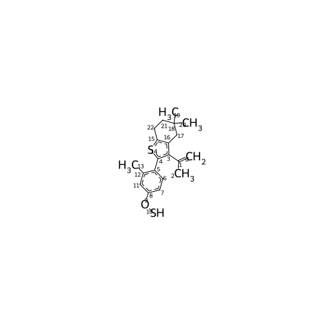 C=C(C)c1c(-c2ccc(OS)cc2C)sc2c1CC(C)(C)CC2